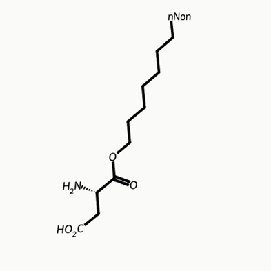 CCCCCCCCCCCCCCCCOC(=O)[C@@H](N)CC(=O)O